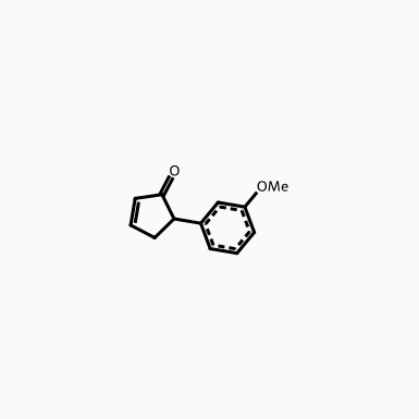 COc1cccc(C2CC=CC2=O)c1